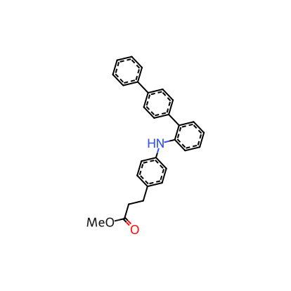 COC(=O)CCc1ccc(Nc2ccccc2-c2ccc(-c3ccccc3)cc2)cc1